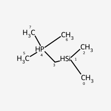 C[SiH](C)C[PH](C)(C)C